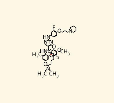 CCN(CC)C(=O)CCCc1ccc(Oc2nc(Nc3ccc(OCCCN4CCCCC4)c(F)c3)ncc2C(=O)Nc2c(C)cccc2C)c(OC)c1